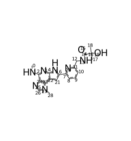 CNc1nc2[nH]c(-c3cccc(CNC(=O)C(C)(C)O)n3)cc2c2c1ncn2C